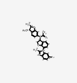 CC(=O)O[C@H]1c2ccc(N(C(=O)C(F)(F)F)C3COc4c3cccc4-n3c(C)nc4ccc(F)cc43)cc2OC1C